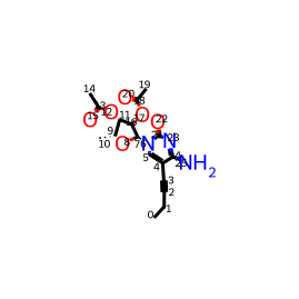 CCC#Cc1cn([C@@H]2O[C@H](C)C(OC(C)=O)C2OC(C)=O)c(=O)nc1N